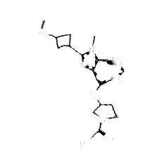 COC1CC(c2nc3c(OC4CCN(C(=O)O)C4)ncnc3n2C)C1